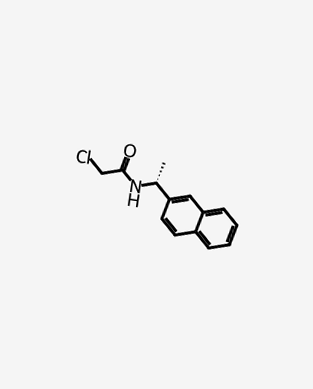 C[C@@H](NC(=O)CCl)c1ccc2ccccc2c1